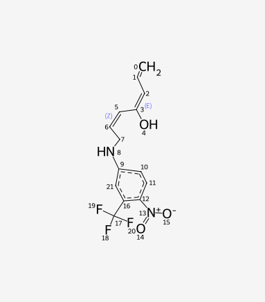 C=C/C=C(O)\C=C/CNc1ccc([N+](=O)[O-])c(C(F)(F)F)c1